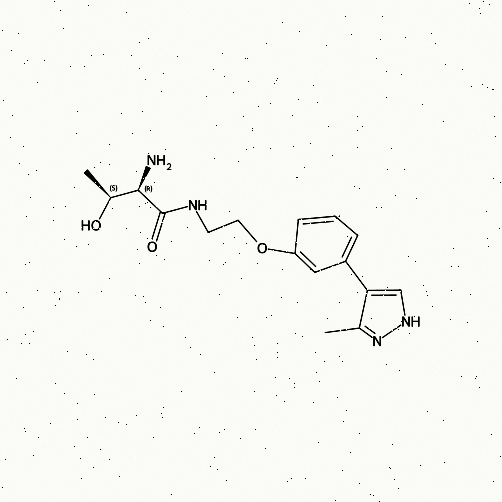 Cc1n[nH]cc1-c1c[c]cc(OCCNC(=O)[C@H](N)[C@H](C)O)c1